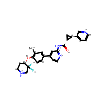 N#Cc1cc(-c2ccnc(NC(=O)[C@@H]3C[C@H]3c3cccnc3)c2)ccc1O[C@H]1CCNCC1(F)F